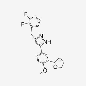 COc1ccc(-c2cc(Cc3cccc(F)c3F)n[nH]2)cc1C1CCCO1